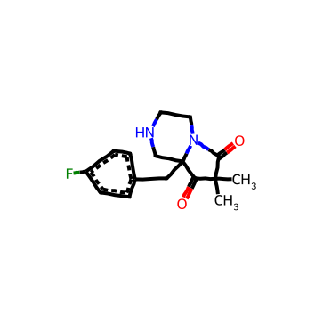 CC1(C)C(=O)N2CCNCC2(Cc2ccc(F)cc2)C1=O